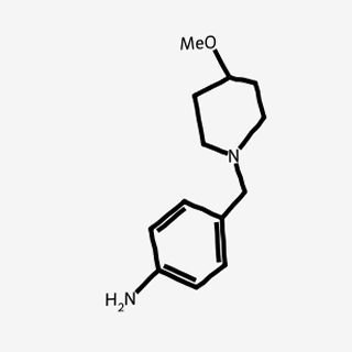 COC1CCN(Cc2ccc(N)cc2)CC1